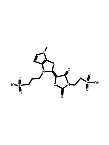 Cn1ccc2c1S/C(=C1/OC(=S)N(CCS(=O)(=O)O)C1=O)N2CCCS(=O)(=O)O